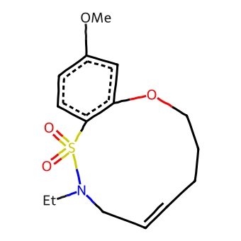 CCN1CC=CCCCOc2cc(OC)ccc2S1(=O)=O